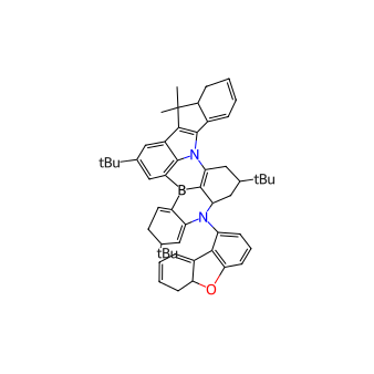 CC(C)(C)c1cc2c3c(c1)c1c(n3C3=C4B2C2=CCC(C(C)(C)C)C=C2N(c2cccc5c2C2=CC=CCC2O5)C4CC(C(C)(C)C)C3)C2=CC=CCC2C1(C)C